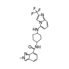 Cn1cc2cccc(C(=O)NC3CCC(Nc4cccc5nc(C(F)(F)F)cn45)CC3)c2n1